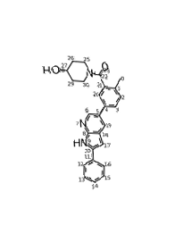 Cc1ccc(-c2cnc3[nH]c(-c4ccccc4)cc3c2)cc1C(=O)N1CCC(O)CC1